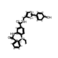 CCN1c2ccc(C(=O)NCc3cnc(C4=CCC(O)C=C4)s3)cc2NC(=O)c2ccccc21